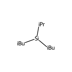 CCC(C)[Si](C(C)C)C(C)CC